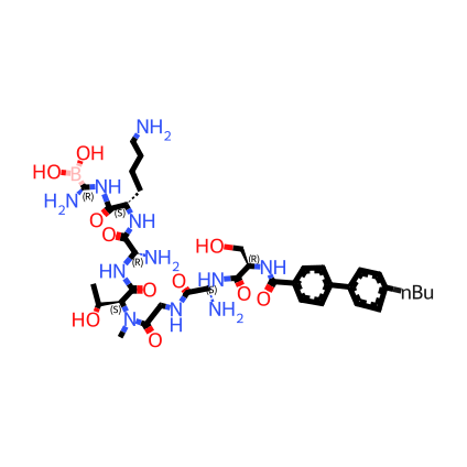 CCCCc1ccc(-c2ccc(C(=O)N[C@H](CO)C(=O)N[C@H](N)C(=O)NCC(=O)N(C)[C@H](C(=O)N[C@@H](N)C(=O)N[C@@H](CCCCN)C(=O)N[C@@H](N)B(O)O)C(C)O)cc2)cc1